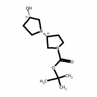 CC(C)(C)OC(=O)N1CC[C@@H](N2CC[C@H](O)C2)C1